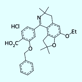 CCOc1cc2c(c3c1OC(C)(C)C3)C(c1ccc(C(=O)O)c(OCc3ccccc3)c1)=NC(C)(C)C2.Cl